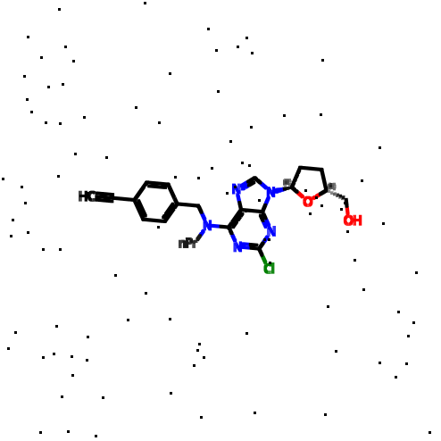 C#Cc1ccc(CN(CCC)c2nc(Cl)nc3c2ncn3[C@H]2CC[C@H](CO)O2)cc1